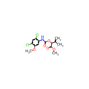 C=C(C)C(OC(=O)Nc1cc(OC)c(Cl)cc1Cl)C(=O)OC